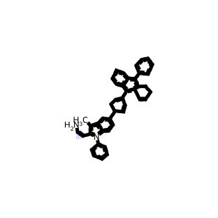 Cc1c(/C=C\N)n(-c2ccccc2)c2ccc(C3C=CC(c4c5c(c(-c6ccccc6)c6ccccc46)CCC=C5)=CC3)cc12